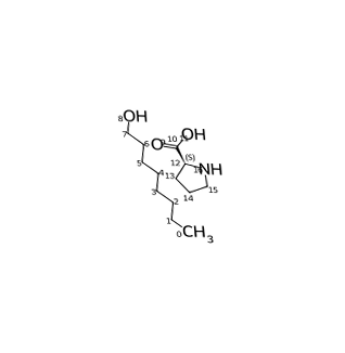 CCCCCCCCO.O=C(O)[C@@H]1CCCN1